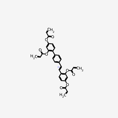 C=CC(=O)Oc1ccc(/C=C/c2ccc(-c3ccc(OC(=O)C=C)cc3OC(=O)C=C)cc2)c(OC(=O)C=C)c1